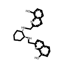 Oc1cccc2ccc(CN[C@H]3CCCC[C@@H]3NCc3ccc4cccc(O)c4n3)nc12